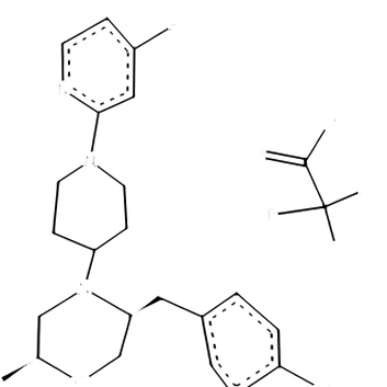 C[C@H]1CN(C2CCN(c3cc(F)ccn3)CC2)[C@@H](Cc2ccc(Cl)cc2)CO1.O=C(O)C(F)(F)F